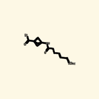 CCCCCCCCCCCCCCCC(=O)NC12CC(C(=O)CC)(C1)C2